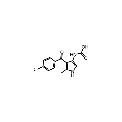 Cc1[nH]cc(NC(=O)O)c1C(=O)c1ccc(Cl)cc1